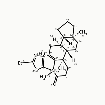 CCc1nnc([N+]2(C)C(=O)CC[C@@]3(C)C2=C(C)C[C@H]2[C@@H]4CCC[C@@]4(C)CC[C@@H]23)s1